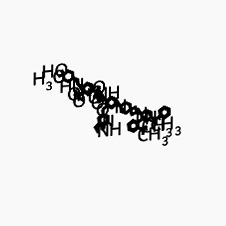 CC(C)c1ccccc1C1CN(C(C)c2ccccc2)CCN1C1CC2(CCN(c3ccc(C(=O)NS(=O)(=O)c4ccc(NCC5CCC(C)(O)CC5)c([N+](=O)[O-])c4)c(Oc4cnc5[nH]ccc5c4)c3)CC2)C1